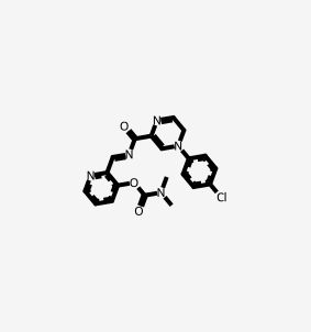 CN(C)C(=O)Oc1cccnc1C=NC(=O)C1=CN(c2ccc(Cl)cc2)CC=N1